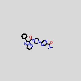 CN(C)C(=O)c1cnc(N2CCN(C(=O)c3c(-c4ccccc4)nc4cccnn34)CC2)cn1